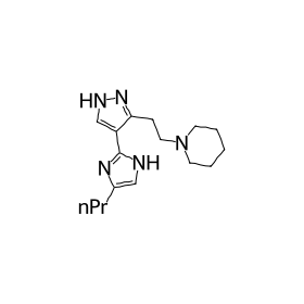 CCCc1c[nH]c(-c2c[nH]nc2CCN2CCCCC2)n1